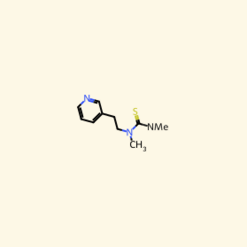 CNC(=S)N(C)CCc1cccnc1